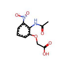 CC(=O)Nc1c(OCC(=O)O)cccc1[N+](=O)[O-]